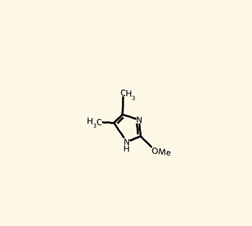 COc1nc(C)c(C)[nH]1